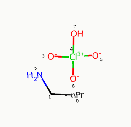 CCCCN.[O-][Cl+3]([O-])([O-])O